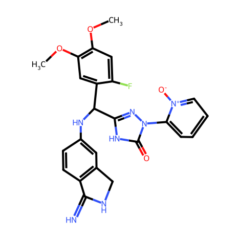 COc1cc(F)c(C(Nc2ccc3c(c2)CNC3=N)c2nn(-c3cccc[n+]3[O-])c(=O)[nH]2)cc1OC